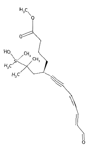 COC(=O)CCC[C@@H](C#C/C=C/C=C/C=O)CC(C)(C)[Si](C)(C)O